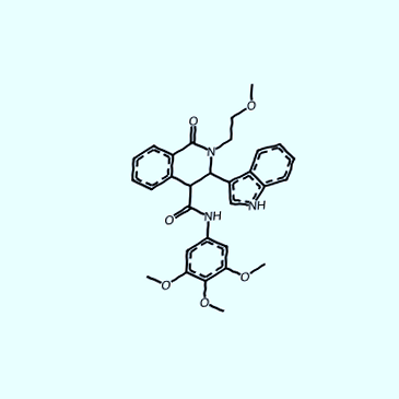 COCCN1C(=O)c2ccccc2C(C(=O)Nc2cc(OC)c(OC)c(OC)c2)C1c1c[nH]c2ccccc12